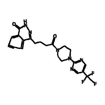 O=C(CCCc1n[nH]c(=O)c2ccccc12)N1CCN(c2ncc(C(F)(F)F)cn2)CC1